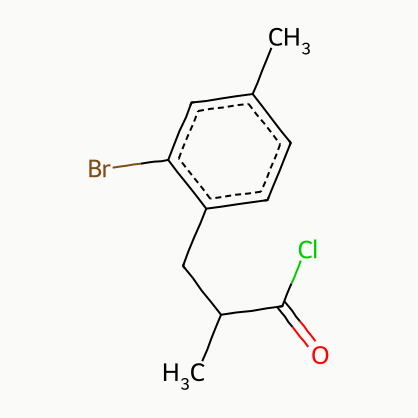 Cc1ccc(CC(C)C(=O)Cl)c(Br)c1